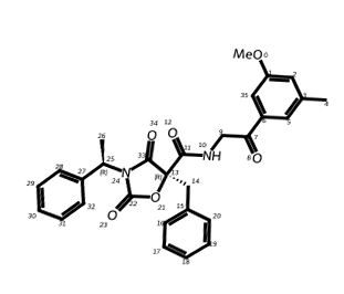 COc1cc(C)cc(C(=O)CNC(=O)[C@@]2(Cc3ccccc3)OC(=O)N([C@H](C)c3ccccc3)C2=O)c1